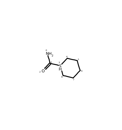 NC(=O)[SH]1CCCCC1